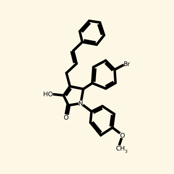 COc1ccc(N2C(=O)C(O)=C(C/C=C/c3ccccc3)C2c2ccc(Br)cc2)cc1